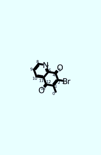 CC1=C(Br)C(=O)c2ncccc2C1=O